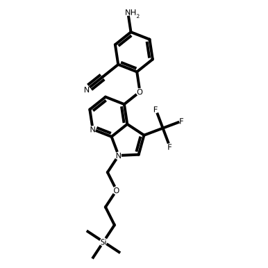 C[Si](C)(C)CCOCn1cc(C(F)(F)F)c2c(Oc3ccc(N)cc3C#N)ccnc21